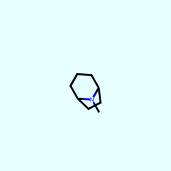 CN1C2CCCC1CC2